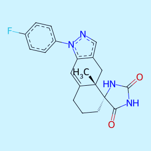 C[C@]12Cc3cnn(-c4ccc(F)cc4)c3C=C1CCC[C@@]21NC(=O)NC1=O